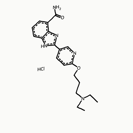 CCN(CC)CCCOc1ccc(-c2nc3c(C(N)=O)cccc3[nH]2)cn1.Cl